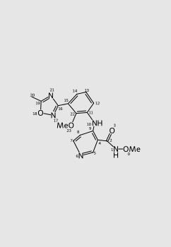 CONC(=O)c1cnccc1Nc1cccc(-c2noc(C)n2)c1OC